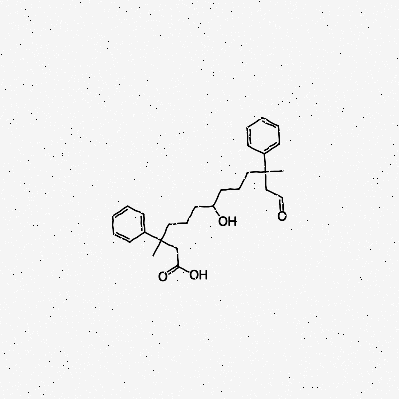 CC(CC=O)(CCCC(O)CCCC(C)(CC(=O)O)c1ccccc1)c1ccccc1